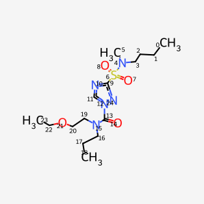 CCCCN(C)S(=O)(=O)c1ncn(C(=O)N(CCC)CCOCC)n1